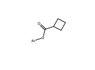 CC(=O)OC(=O)C1CCC1